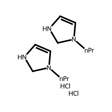 CCCN1C=CNC1.CCCN1C=CNC1.Cl.Cl